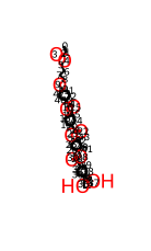 C=CC(=O)OCCCCOc1ccc(C(=O)Oc2ccc(C(=O)Oc3ccc(OC(=O)c4ccc(B(O)O)cc4)c(C)c3C)cc2)cc1